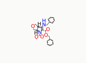 COC(=O)N1[C@@H]2COC[C@@H]2[C@H](NCc2ccccc2)[C@@H]1C(=O)OCc1ccccc1